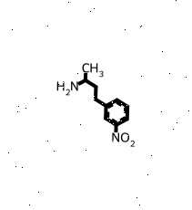 CC(N)CCc1cccc([N+](=O)[O-])c1